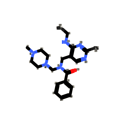 CN1CCN(CN(Cc2cnc(C#N)nc2NCC(C)(C)C)C(=O)c2ccccc2)CC1